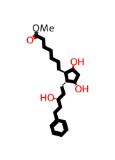 COC(=O)CCCCCC[C@@H]1[C@@H](CC[C@@H](O)CCc2ccccc2)[C@H](O)C[C@@H]1O